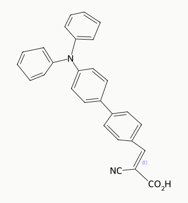 N#C/C(=C\c1ccc(-c2ccc(N(c3ccccc3)c3ccccc3)cc2)cc1)C(=O)O